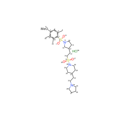 COc1cc(C)c(S(=O)(=O)N2CCC(CCS(=O)(=O)N3CCC(CCN4CCCC4)CC3)C2)c(C)c1C.Cl